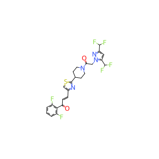 O=C(/C=C/c1csc(C2CCN(C(=O)Cn3nc(C(F)F)cc3C(F)F)CC2)n1)c1c(F)cccc1F